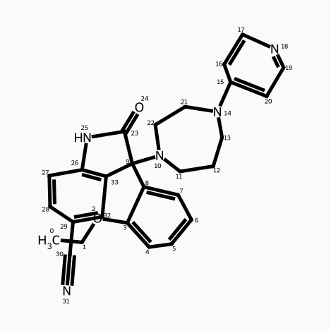 CCOc1ccccc1C1(N2CCCN(c3ccncc3)CC2)C(=O)Nc2ccc(C#N)cc21